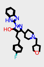 Oc1c(CCc2ccc(F)cc2)c(C2CCN(CC3CCOCC3)CC2)nn1-c1nc2ccccc2[nH]1